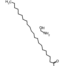 CCCCCCCCCCCCCCCCCCCCCC(=O)O.NCO